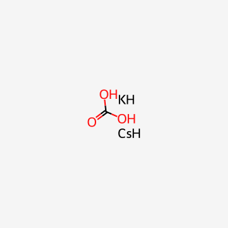 O=C(O)O.[CsH].[KH]